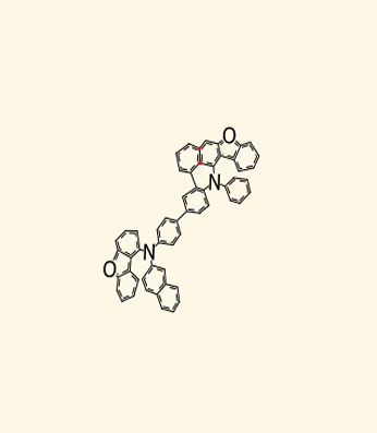 c1ccc(-c2cc(-c3ccc(N(c4ccc5ccccc5c4)c4cccc5oc6ccccc6c45)cc3)ccc2N(c2ccccc2)c2cccc3oc4ccccc4c23)cc1